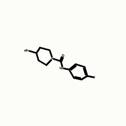 CCCC1CCN(C(=O)Nc2ccc(F)cc2)CC1